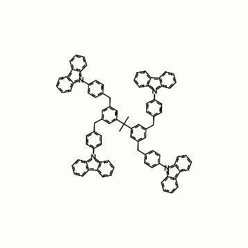 CC(C)(c1cc(Cc2ccc(-n3c4ccccc4c4ccccc43)cc2)cc(Cc2ccc(-n3c4ccccc4c4ccccc43)cc2)c1)c1cc(Cc2ccc(-n3c4ccccc4c4ccccc43)cc2)cc(Cc2ccc(-n3c4ccccc4c4ccccc43)cc2)c1